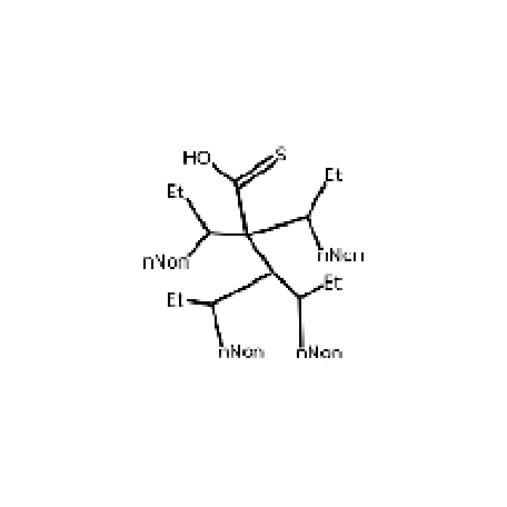 CCCCCCCCCC(CC)C(C(CC)CCCCCCCCC)C(C(O)=S)(C(CC)CCCCCCCCC)C(CC)CCCCCCCCC